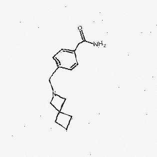 NC(=O)c1ccc(CN2CC3(C[CH]C3)C2)cc1